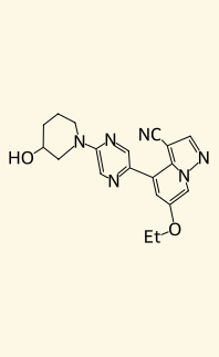 CCOc1cc(-c2cnc(N3CCCC(O)C3)cn2)c2c(C#N)cnn2c1